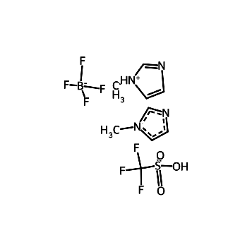 C[NH+]1C=CN=C1.Cn1ccnc1.F[B-](F)(F)F.O=S(=O)(O)C(F)(F)F